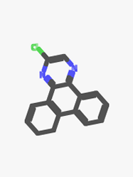 Clc1cnc2c(n1)c1c(c3ccccc32)CCC=C1